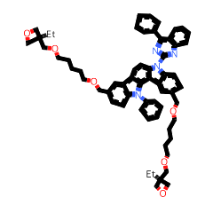 CCC1(COCCCCCOCc2ccc3c(c2)c2c(ccc4c5cc(COCCCCCOCC6(CC)COC6)ccc5n(-c5ccccc5)c42)n3-c2nc(-c3ccccc3)c3ccccc3n2)COC1